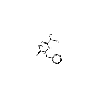 COC(=O)[C@H](Cc1ccccc1)NC(=O)C(N)C(C)C